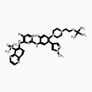 BC(B)(B)OCCN1CCN(c2cc(OC)c(Nc3ncc(Br)c(Nc4ccc5nccnc5c4P(C)(C)=O)n3)cc2-c2cnn(C)c2)CC1